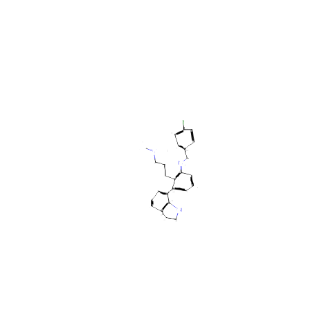 CN(C)CCCc1c(NCc2ccc(F)cc2)cccc1-c1cccc2c1NCC2